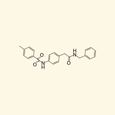 Cc1ccc(S(=O)(=O)Nc2ccc(CC(=O)NCc3ccccc3)cc2)cc1